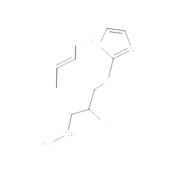 CC(C)(C)NCC(O)COc1nccs1.O=C(O)C=CC(=O)O